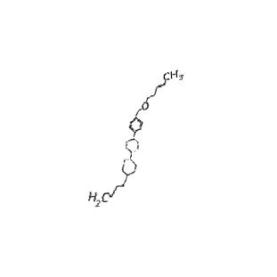 C=CCC[C@H]1CC[C@H]([C@H]2CC[C@H](c3ccc(COCCC=CC)cc3)CC2)CC1